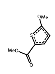 COC(=O)c1ccc(OC)s1